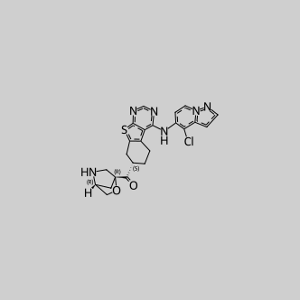 O=C([C@H]1CCc2c(sc3ncnc(Nc4ccn5nccc5c4Cl)c23)C1)[C@@]12CN[C@@H](CO1)C2